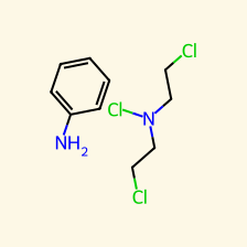 ClCCN(Cl)CCCl.Nc1ccccc1